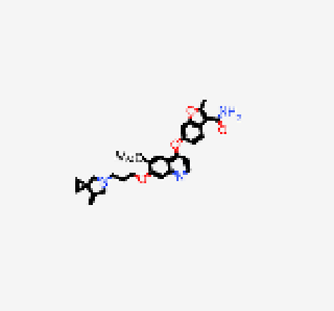 C=C1CN(CCCOc2cc3nccc(Oc4ccc5c(C(N)=O)c(C)oc5c4)c3cc2OC)CC12CC2